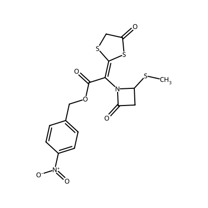 CSC1CC(=O)N1C(C(=O)OCc1ccc([N+](=O)[O-])cc1)=C1SCC(=O)S1